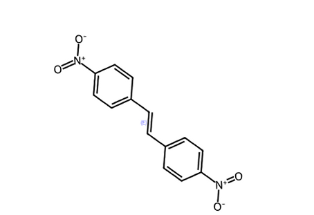 O=[N+]([O-])c1ccc(/C=C/c2ccc([N+](=O)[O-])cc2)cc1